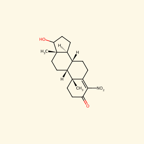 C[C@]12CCC(=O)C([N+](=O)[O-])=C1CC[C@@H]1[C@H]2CC[C@]2(C)C(O)CC[C@@H]12